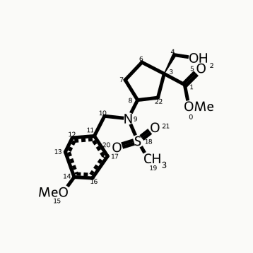 COC(=O)[C@@]1(CO)CCC(N(Cc2ccc(OC)cc2)S(C)(=O)=O)C1